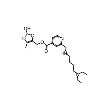 CCN(CC)CCCCNCc1cc(C(=O)OCC2=C(C)OC(O)O2)ccn1